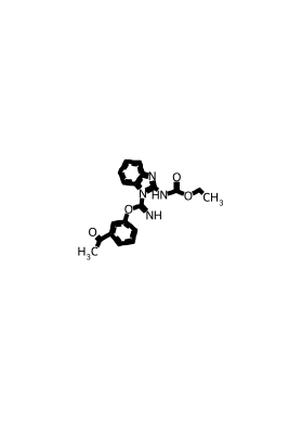 CCOC(=O)Nc1nc2ccccc2n1C(=N)Oc1cccc(C(C)=O)c1